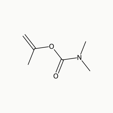 C=C(C)OC(=O)N(C)C